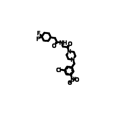 O=C(CC1CCC(F)(F)CC1)NCC(=O)N1CCN(Cc2cc(Cl)cc([N+](=O)[O-])c2)CC1